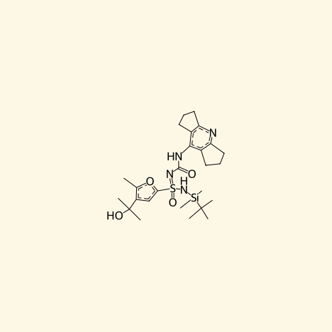 Cc1oc(S(=O)(=NC(=O)Nc2c3c(nc4c2CCC4)CCC3)N[Si](C)(C)C(C)(C)C)cc1C(C)(C)O